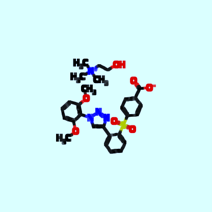 COc1cccc(OC)c1-n1cc(-c2ccccc2S(=O)(=O)c2ccc(C(=O)[O-])cc2)nn1.C[N+](C)(C)CCO